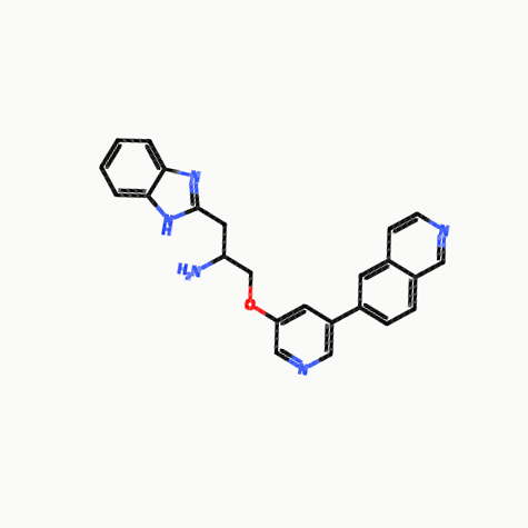 NC(COc1cncc(-c2ccc3cnccc3c2)c1)Cc1nc2ccccc2[nH]1